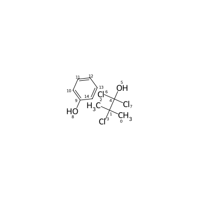 CC(C)(Cl)C(O)(Cl)Cl.Oc1ccccc1